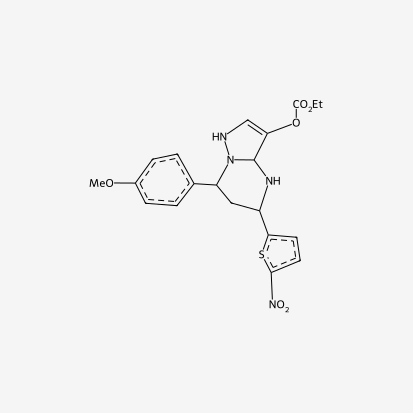 CCOC(=O)OC1=CNN2C1NC(c1ccc([N+](=O)[O-])s1)CC2c1ccc(OC)cc1